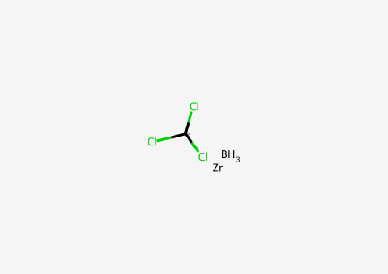 B.Cl[C](Cl)Cl.[Zr]